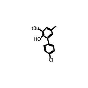 Cc1cc(-c2ccc(Cl)cc2)c(O)c(C(C)(C)C)c1